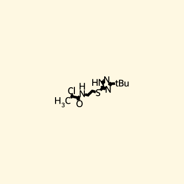 CC(Cl)C(=O)NCCSc1nc(C(C)(C)C)n[nH]1